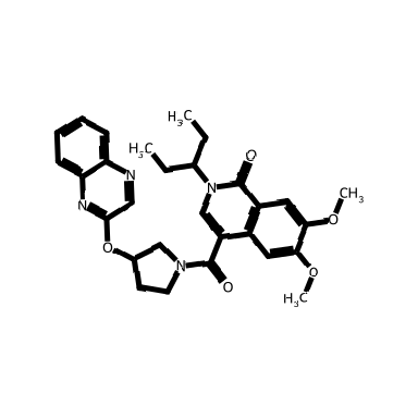 CCC(CC)n1cc(C(=O)N2CCC(Oc3cnc4ccccc4n3)C2)c2cc(OC)c(OC)cc2c1=O